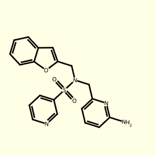 Nc1cccc(CN(Cc2cc3ccccc3o2)S(=O)(=O)c2cccnc2)n1